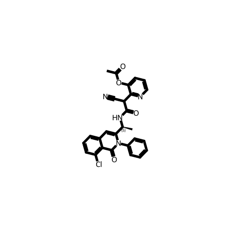 CC(=O)Oc1cccnc1C(C#N)C(=O)N[C@@H](C)c1cc2cccc(Cl)c2c(=O)n1-c1ccccc1